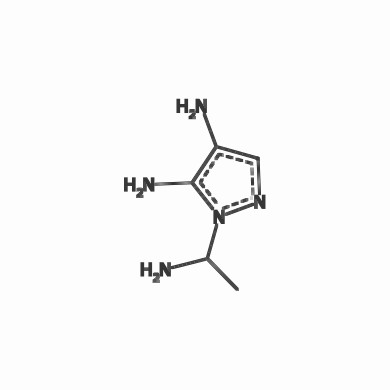 CC(N)n1ncc(N)c1N